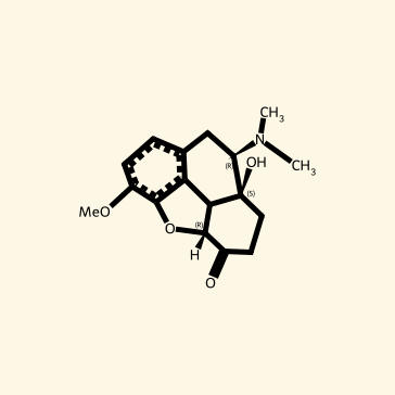 COc1ccc2c3c1O[C@H]1C(=O)CC[C@](O)(C31)[C@H](N(C)C)C2